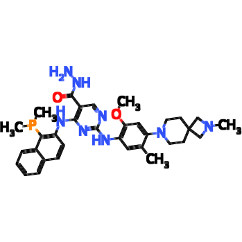 COc1cc(N2CCC3(CC2)CN(C)C3)c(C)cc1Nc1ncc(C(=O)NN)c(Nc2ccc3ccccc3c2P(C)C)n1